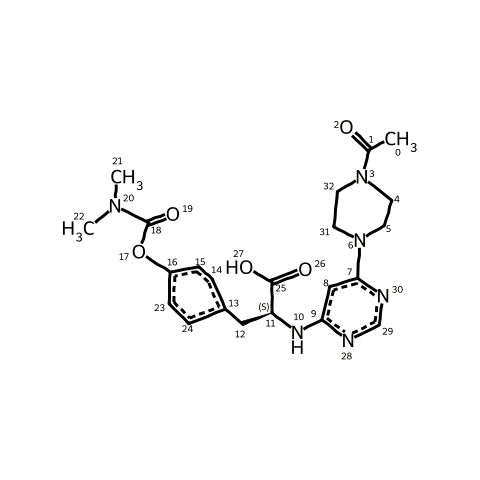 CC(=O)N1CCN(c2cc(N[C@@H](Cc3ccc(OC(=O)N(C)C)cc3)C(=O)O)ncn2)CC1